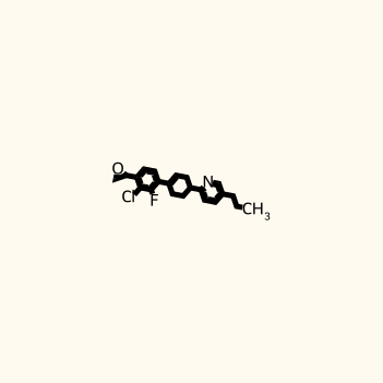 CCCc1ccc(C2CC=C(c3ccc(C4CO4)c(Cl)c3F)CC2)nc1